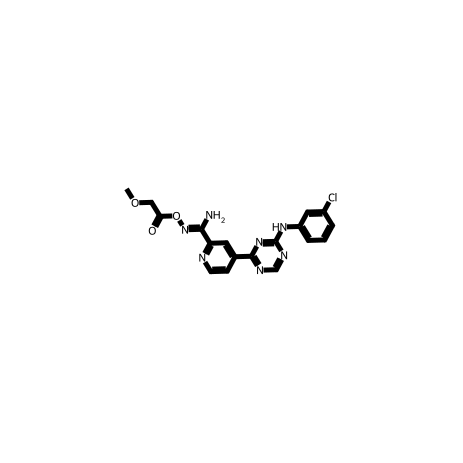 COCC(=O)O/N=C(\N)c1cc(-c2ncnc(Nc3cccc(Cl)c3)n2)ccn1